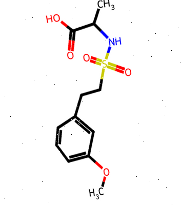 COc1cccc(CCS(=O)(=O)NC(C)C(=O)O)c1